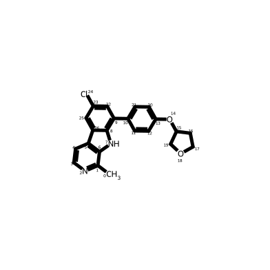 Cc1nccc2c1[nH]c1c(-c3ccc(OC4CCOC4)cc3)cc(Cl)cc12